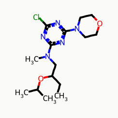 CCC(CN(C)c1nc(Cl)nc(N2CCOCC2)n1)OC(C)C